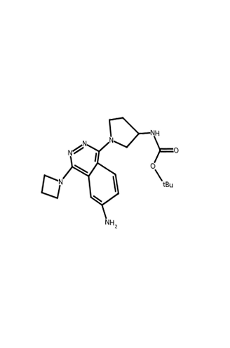 CC(C)(C)OC(=O)NC1CCN(c2nnc(N3CCC3)c3cc(N)ccc23)C1